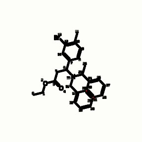 CCOC(=O)CC(c1ccc(C)c(Br)c1)N(Cc1ccccc1)C(C)c1ccccc1